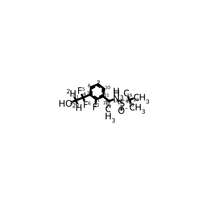 [2H]C([2H])(O)C(F)(F)c1cccc([C@@H](C)N[S@+]([O-])C(C)(C)C)c1F